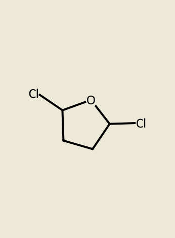 ClC1CCC(Cl)O1